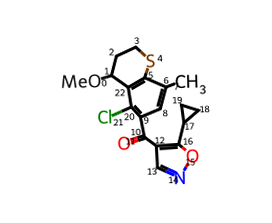 COC1CCSc2c(C)cc(C(=O)c3cnoc3C3CC3)c(Cl)c21